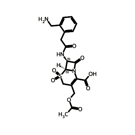 CC(=O)OCC1=C(C(=O)O)N2C(=O)[C@H](NC(=O)Cc3ccccc3CN)[C@@H]2S(=O)(=O)C1